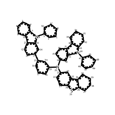 c1ccc(-n2c3ccccc3c3ccc(-c4cccc(N(c5ccc6sc7ccccc7c6c5)c5ccc6c7ccccc7n(-c7ccccc7)c6c5)c4)cc32)cc1